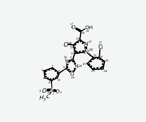 CS(=O)(=O)c1cccc(-c2nc(-c3c(Cl)c(C(=O)O)nn3-c3ccccc3Cl)no2)c1